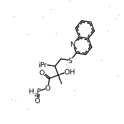 CC(C)C(CSc1ccc2ccccc2n1)C(C)(O)C(=O)O[PH2]=O